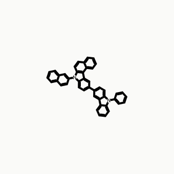 c1ccc(-n2c3ccccc3c3cc(-c4ccc5c(c4)c4c6ccccc6ccc4n5-c4ccc5ccccc5c4)ccc32)cc1